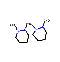 O=CN1CCCCN1C=O.O=CN1CCCCN1C=O